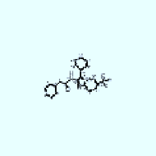 O=C(Cc1ccccc1)Nc1nc2ccc(C(F)(F)F)cn2c1-c1ccccc1